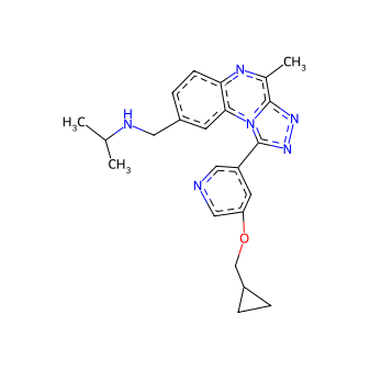 Cc1nc2ccc(CNC(C)C)cc2n2c(-c3cncc(OCC4CC4)c3)nnc12